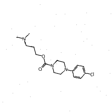 CN(C)CCCOC(=O)N1CCN(c2ccc(Cl)cc2)CC1